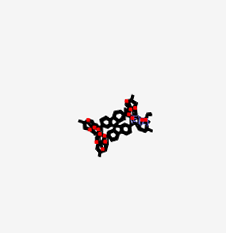 C=C/C(C)=C\C=C(/C)N(c1ccc(C)cc1)c1ccc2c(c1)C1(c3cc(N(c4ccc(C)cc4)c4ccc(C)cc4)ccc3-2)c2cc(N(c3ccc(C)cc3)c3ccc(C)cc3)ccc2-c2ccc(N(c3ccc(C)cc3)c3ccc(C)cc3)cc21